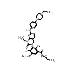 CCONC(=O)c1cc(OC)c(Cl)c(N2Cc3cnc(Nc4ccc(N5CCN(CC)CC5)cc4)nc3N(CC)C2=O)c1Cl